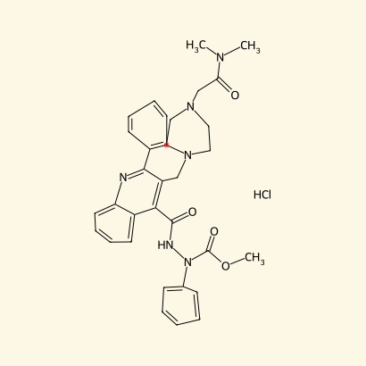 COC(=O)N(NC(=O)c1c(CN2CCN(CC(=O)N(C)C)CC2)c(-c2ccccc2)nc2ccccc12)c1ccccc1.Cl